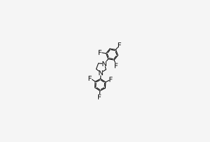 Fc1cc(F)c(N2CCN(c3c(F)cc(F)cc3F)C2)c(F)c1